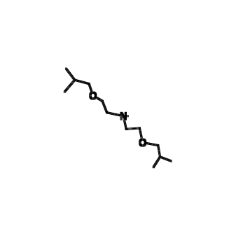 CC(C)COCC[N]CCOCC(C)C